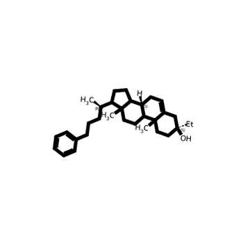 CC[C@]1(O)CCC2(C)C(=CC[C@@H]3C2CCC2(C)C3CCC2[C@H](C)CCCc2ccccc2)C1